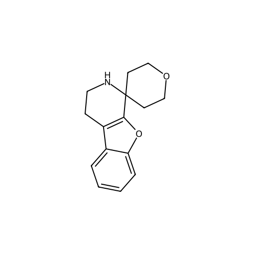 c1ccc2c3c(oc2c1)C1(CCOCC1)NCC3